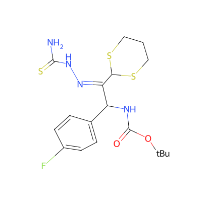 CC(C)(C)OC(=O)NC(/C(=N/NC(N)=S)C1SCCCS1)c1ccc(F)cc1